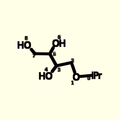 CC(C)OCC(O)C(O)CO